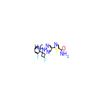 CN(c1ncc(-c2ncc(C(N)=O)s2)cn1)C1(c2ncccc2F)CC(F)C1